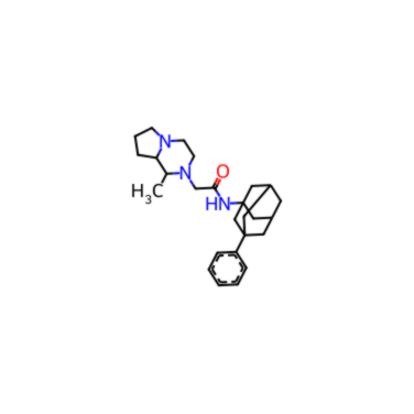 CC1C2CCCN2CCN1CC(=O)NC12CC3CC(C1)CC(c1ccccc1)(C3)C2